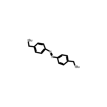 CC(C)(C)Cc1ccc(/N=N/c2ccc(CC(C)(C)C)cc2)cc1